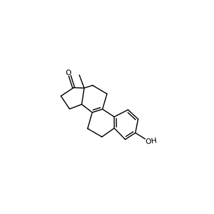 CC12CCC3=C(CCc4cc(O)ccc43)C1CCC2=O